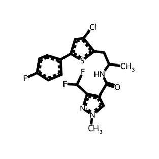 CC(Cc1sc(-c2ccc(F)cc2)cc1Cl)NC(=O)c1cn(C)nc1C(F)F